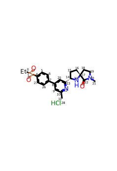 CCS(=O)(=O)c1ccc(-c2cc(C)nc([C@@H]3CC[C@]4(CCN(C)C4=O)N3)c2)cc1.Cl